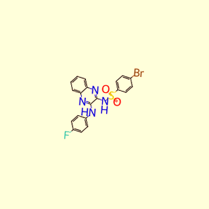 O=S(=O)(Nc1nc2ccccc2nc1Nc1ccc(F)cc1)c1ccc(Br)cc1